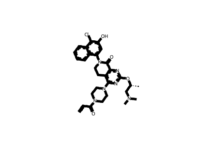 C=CC(=O)N1CCN(c2nc(O[C@H](C)CN(C)C)nc3c2CCN(c2cc(O)c(Cl)c4ccccc24)C3=O)CC1